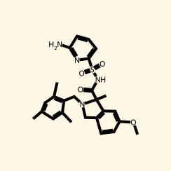 COc1ccc2c(c1)C(C)(C(=O)NS(=O)(=O)c1cccc(N)n1)N(Cc1c(C)cc(C)cc1C)C2